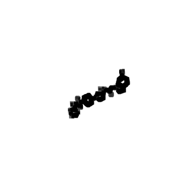 O=C(Cn1ccc2ccc(Cl)cc21)NC1CCN(c2ccc(S(=O)(=O)Nc3ncns3)cc2)C1